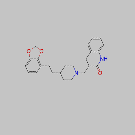 O=C1Nc2ccccc2CC1CN1CCC(CCc2cccc3c2OCO3)CC1